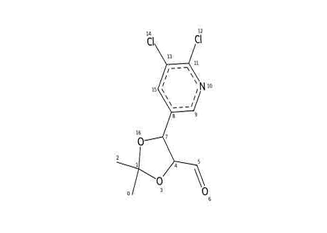 CC1(C)OC(C=O)C(c2cnc(Cl)c(Cl)c2)O1